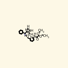 CCOC(OCC)C(=O)Nc1cccc(CO/N=C(\C2=NNNN2C)c2ccccc2)n1